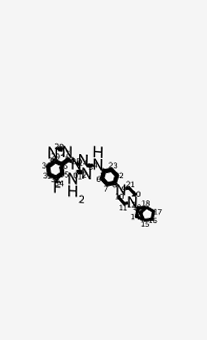 Nc1nc(Nc2ccc(N3CCN(C4CC5CCC4C5)CC3)cc2)nn1-c1ncnc2ccc(F)cc12